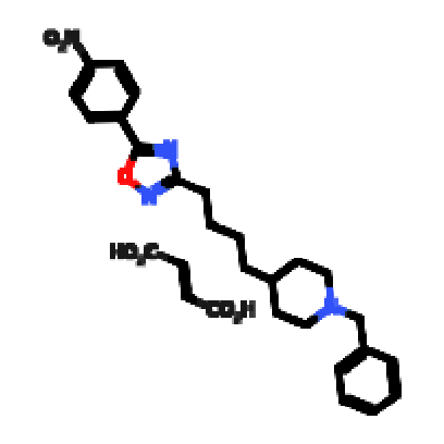 O=C(O)/C=C/C(=O)O.O=[N+]([O-])c1ccc(-c2nc(CCCCC3CCN(Cc4ccccc4)CC3)no2)cc1